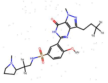 [2H]C([2H])([2H])CCc1nn(C)c2c(=O)[nH]c(-c3cc(S(=O)(=O)NCC([2H])([2H])C4CCCN4C)ccc3OCCC)nc12